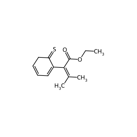 CCOC(=O)C(C1=CC=CCC1=S)=C(C)C